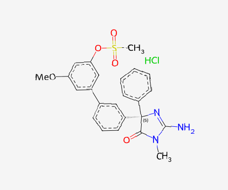 COc1cc(OS(C)(=O)=O)cc(-c2cccc([C@]3(c4ccccc4)N=C(N)N(C)C3=O)c2)c1.Cl